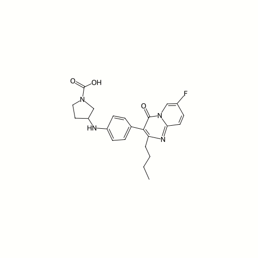 CCCCc1nc2ccc(F)cn2c(=O)c1-c1ccc(NC2CCN(C(=O)O)C2)cc1